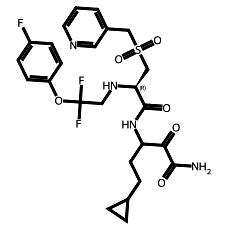 NC(=O)C(=O)C(CCC1CC1)NC(=O)[C@H](CS(=O)(=O)Cc1cccnc1)NCC(F)(F)Oc1ccc(F)cc1